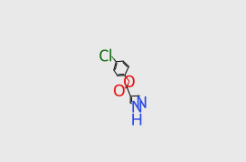 O=C(Oc1ccc(Cl)cc1)c1cn[nH]c1